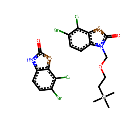 C[Si](C)(C)CCOCn1c(=O)sc2c(Cl)c(Br)ccc21.O=c1[nH]c2ccc(Br)c(Cl)c2s1